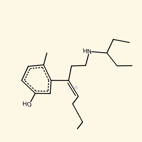 CCC/C=C(/CCNC(CC)CC)c1cc(O)ccc1C